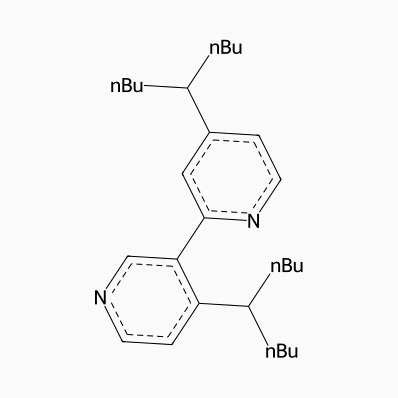 CCCCC(CCCC)c1ccnc(-c2cnccc2C(CCCC)CCCC)c1